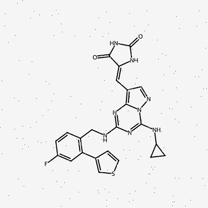 O=C1NC(=O)/C(=C/c2cnn3c(NC4CC4)nc(NCc4ccc(F)cc4-c4ccsc4)nc23)N1